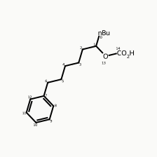 CCCCC(CCCCCc1ccccc1)OC(=O)O